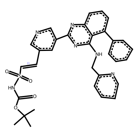 CC(C)(C)OC(=O)NS(=O)(=O)/C=C/c1cncc(-c2nc(NCc3ccccn3)c3c(-c4ccccc4)cccc3n2)c1